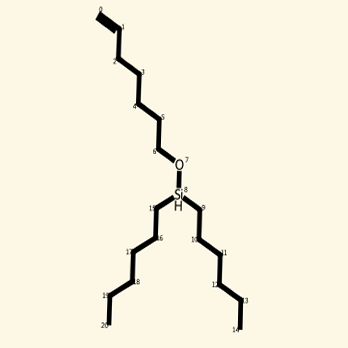 C=CCCCCCO[SiH](CCCCCC)CCCCCC